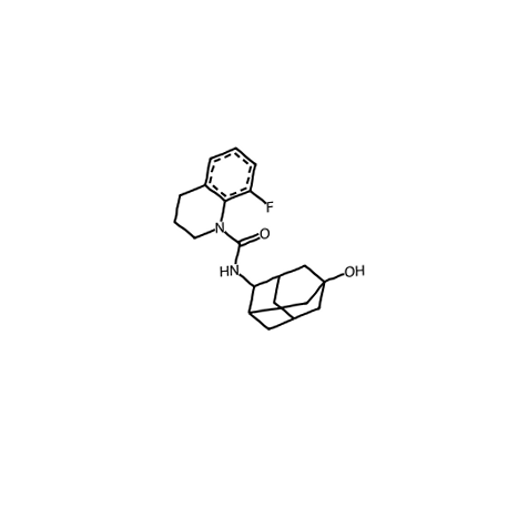 O=C(NC1C2CC3CC1CC(O)(C3)C2)N1CCCc2cccc(F)c21